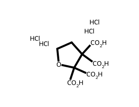 Cl.Cl.Cl.Cl.O=C(O)C1(C(=O)O)CCOC1(C(=O)O)C(=O)O